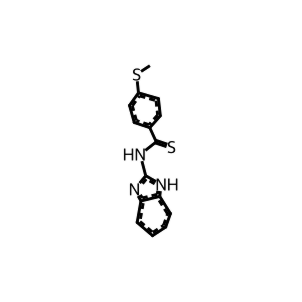 CSc1ccc(C(=S)Nc2nc3ccccc3[nH]2)cc1